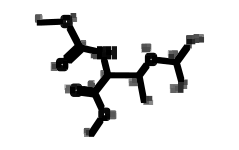 COC(=O)NC(C(=O)OC)C(C)OC(F)F